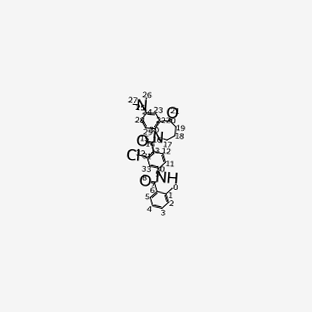 Cc1ccccc1C(=O)Nc1ccc(C(=O)N2CCCC(=O)c3cc(N(C)C)ccc32)c(Cl)c1